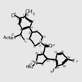 CC(=O)NC(I)c1cc(Cl)c(C)cc1C1CCN(C(=O)C2CN(C(C)(C)C)CC2c2ccc(F)cc2F)CC1